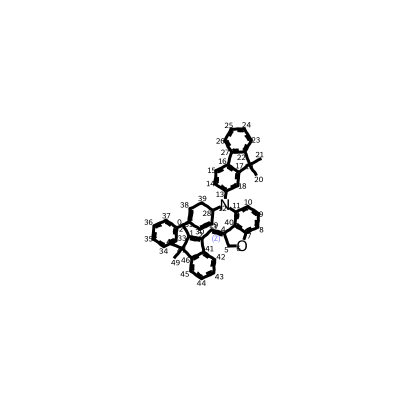 CC1=C(/C=C2\COc3cccc(N(c4ccc5c(c4)C(C)(C)c4ccccc4-5)C4C=CC(c5ccccc5)=CC4)c32)c2ccccc2C1(C)C